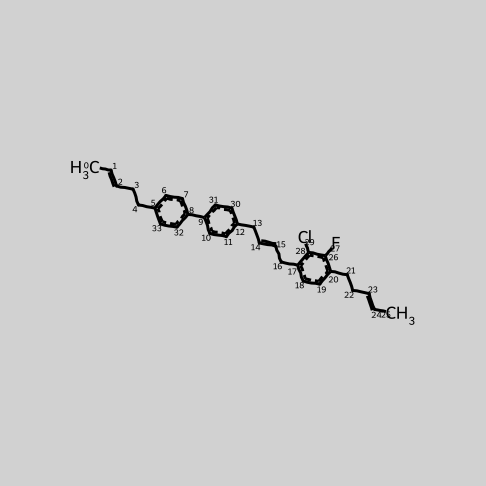 C/C=C/CCc1ccc(-c2ccc(C/C=C/Cc3ccc(CC/C=C/C)c(F)c3Cl)cc2)cc1